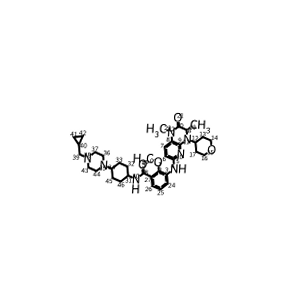 COc1c(Nc2ccc3c(n2)N(C2CCOCC2)[C@H](C)C(=O)N3C)cccc1C(=O)NC1CCC(N2CCN(CC3CC3)CC2)CC1